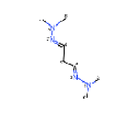 CN(C)N=CCC=NN(C)C